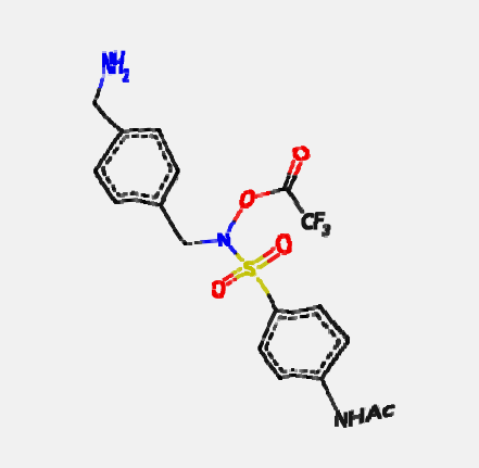 CC(=O)Nc1ccc(S(=O)(=O)N(Cc2ccc(CN)cc2)OC(=O)C(F)(F)F)cc1